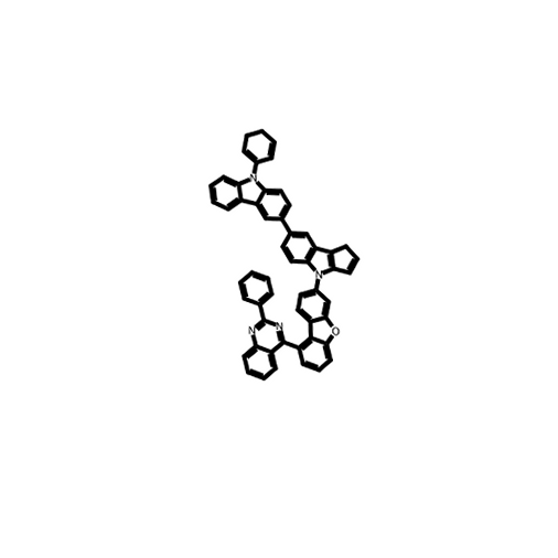 C1=CC(n2c3ccccc3c3cc(-c4ccc5c(c4)c4c(n5-c5ccc6c(c5)oc5cccc(-c7nc(-c8ccccc8)nc8ccccc78)c56)C=CC4)ccc32)=CCC1